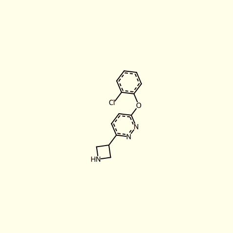 Clc1ccccc1Oc1ccc(C2CNC2)nn1